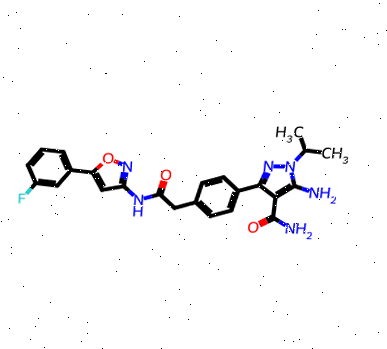 CC(C)n1nc(-c2ccc(CC(=O)Nc3cc(-c4cccc(F)c4)on3)cc2)c(C(N)=O)c1N